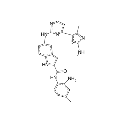 CNc1nc(C)c(-c2ccnc(Nc3ccc4[nH]c(C(=O)Nc5ccc(C)cc5N)cc4c3)n2)s1